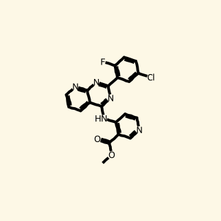 COC(=O)c1cnccc1Nc1nc(-c2cc(Cl)ccc2F)nc2ncccc12